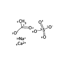 CC(=O)[O-].O=S(=O)([O-])[O-].[Ca+2].[Na+]